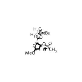 COC1C[C@H](OS(C)(=O)=O)[C@@H](CO[Si](C)(C)C(C)(C)C)O1